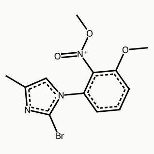 COc1cccc(-n2cc(C)nc2Br)c1[N+](=O)OC